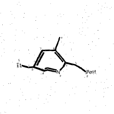 CCCC(C)Cc1ncc(CC)cc1C